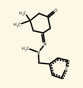 CN(Cc1ccccc1)N=C1CC(=O)CC(C)(C)C1